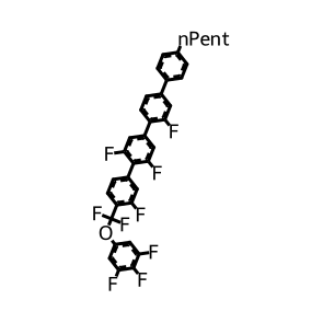 CCCCCc1ccc(-c2ccc(-c3cc(F)c(-c4ccc(C(F)(F)Oc5cc(F)c(F)c(F)c5)c(F)c4)c(F)c3)c(F)c2)cc1